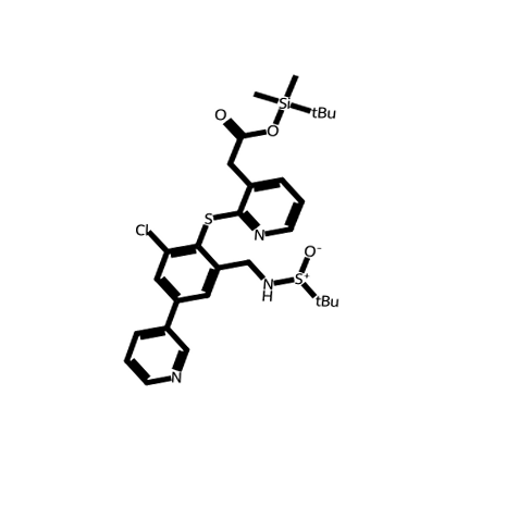 CC(C)(C)[S+]([O-])NCc1cc(-c2cccnc2)cc(Cl)c1Sc1ncccc1CC(=O)O[Si](C)(C)C(C)(C)C